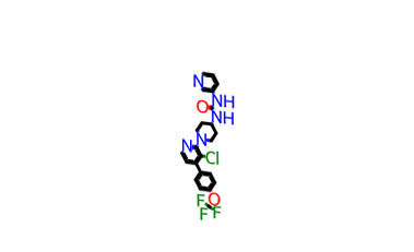 O=C(Nc1cccnc1)NC1CCN(c2nccc(-c3ccc(OC(F)(F)F)cc3)c2Cl)CC1